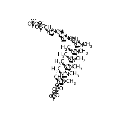 CC[n+]1ccn(C)c1.CC[n+]1ccn(C)c1.CC[n+]1ccn(C)c1.CC[n+]1ccn(C)c1.CC[n+]1ccn(C)c1.CC[n+]1ccn(C)c1.CC[n+]1ccn(C)c1.CC[n+]1ccn(C)c1.O=P([O-])([O-])F.O=P([O-])([O-])F.O=P([O-])([O-])F.O=P([O-])([O-])F